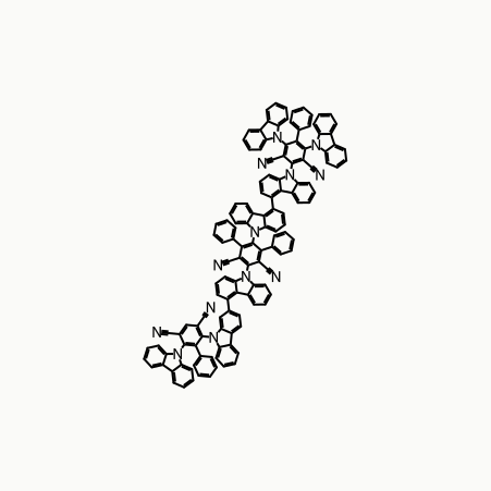 N#Cc1cc(C#N)c(-n2c3ccccc3c3ccc(-c4cccc5c4c4ccccc4n5-c4c(C#N)c(-c5ccccc5)c(-n5c6ccccc6c6c(-c7cccc8c7c7ccccc7n8-c7c(C#N)c(-n8c9ccccc9c9ccccc98)c(-c8ccccc8)c(-n8c9ccccc9c9ccccc98)c7C#N)cccc65)c(-c5ccccc5)c4C#N)cc32)c(-c2ccccc2)c1-n1c2ccccc2c2ccccc21